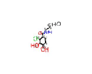 O=CCCNC(=O)c1ccc(O)c(O)c1Cl